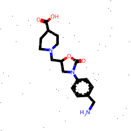 NCc1ccc(N2CC(CN3CCC(C(=O)O)CC3)OC2=O)cc1